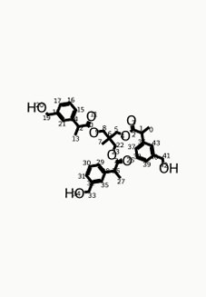 CC(C(=O)OCC(C)(COC(=O)C(C)c1cccc(CO)c1)COC(=O)C(C)c1cccc(CO)c1)c1cccc(CO)c1